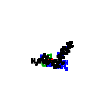 Cc1ncc(Cl)c([C@@H](N)Oc2ccc(N)c(C(=N)c3cnn(C4CCN(C5CCC5)CC4)c3)c2)c1Cl